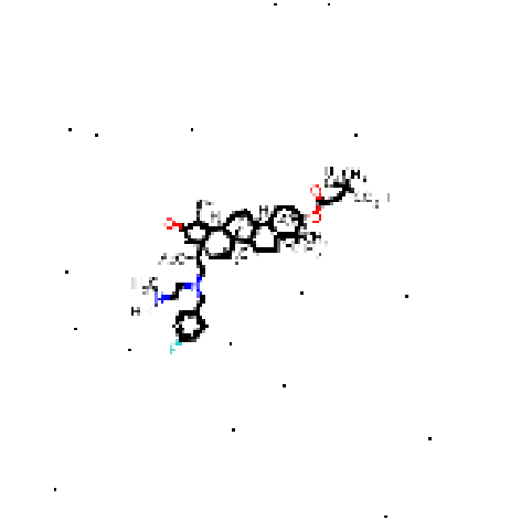 CC(=O)O[C@H](CN(CCN(C)C)Cc1ccc(F)cc1)[C@@]12CC[C@]3(C)[C@H](CC[C@@H]4[C@@]5(C)CC[C@H](OC(=O)CC(C)(C)C(=O)O)C(C)(C)[C@@H]5CC[C@]43C)C1=C(C(C)C)C(=O)C2